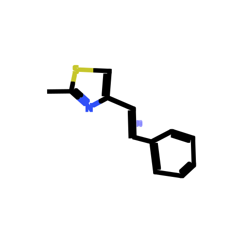 Cc1nc(/C=C/c2ccccc2)cs1